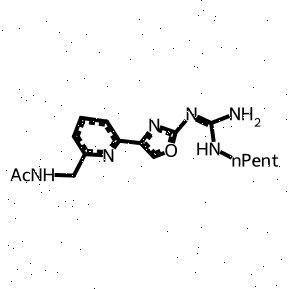 CCCCCNC(N)=Nc1nc(-c2cccc(CNC(C)=O)n2)co1